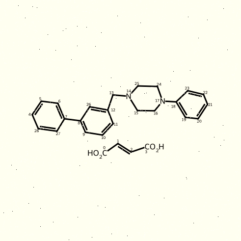 O=C(O)C=CC(=O)O.c1ccc(-c2cccc(CN3CCN(c4ccccc4)CC3)c2)cc1